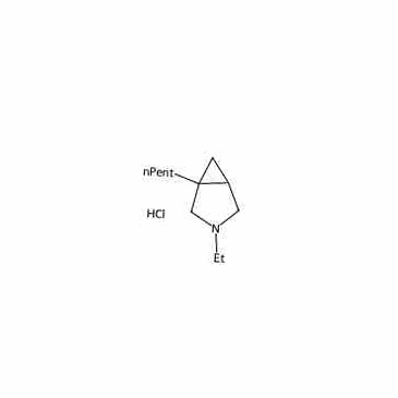 CCCCCC12CC1CN(CC)C2.Cl